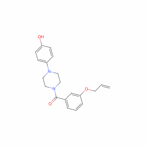 C=CCOc1cccc(C(=O)N2CCN(c3ccc(O)cc3)CC2)c1